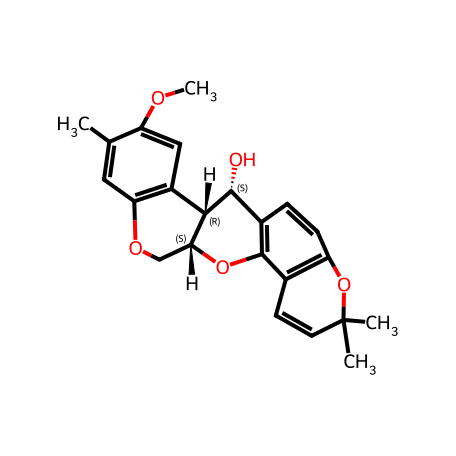 COc1cc2c(cc1C)OC[C@H]1Oc3c(ccc4c3C=CC(C)(C)O4)[C@@H](O)[C@@H]21